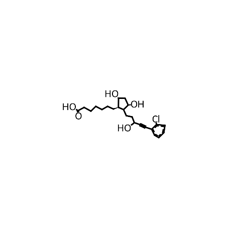 O=C(O)CCCCCC[C@@H]1C(CCC(O)C#Cc2ccccc2Cl)[C@H](O)C[C@@H]1O